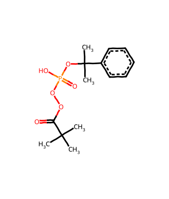 CC(C)(C)C(=O)OOP(=O)(O)OC(C)(C)c1ccccc1